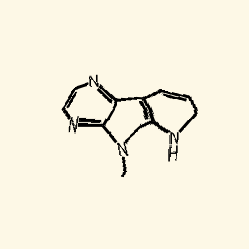 Cn1c2c(c3nccnc31)C=CCN2